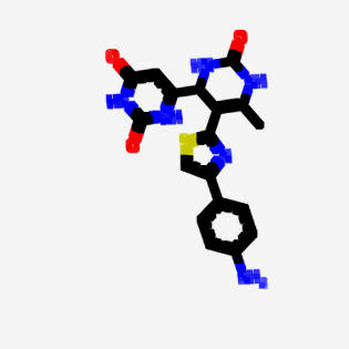 CC1=C(c2nc(-c3ccc(N)cc3)cs2)C(c2cc(=O)[nH]c(=O)[nH]2)NC(=O)N1